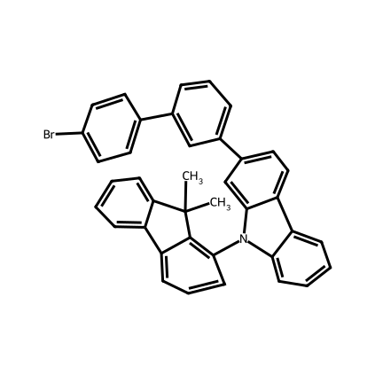 CC1(C)c2ccccc2-c2cccc(-n3c4ccccc4c4ccc(-c5cccc(-c6ccc(Br)cc6)c5)cc43)c21